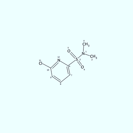 CN(C)S(=O)(=O)c1cccc(Cl)n1